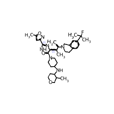 C=C(/C(C)=C(\N=C(/N)c1cc(C)on1)C(=O)N1CCC(NC2CCOCC2C)CC1)N1CCc2ccc(C(C)(C)F)cc2C1